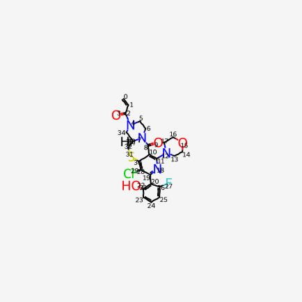 C=CC(=O)N1CCN2C(=O)c3c(N4CCOCC4)nc(-c4c(O)cccc4F)c(Cl)c3SC[C@H]2C1